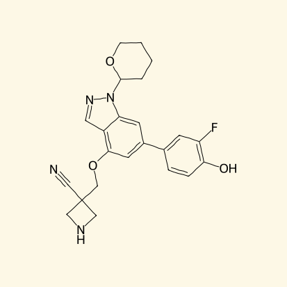 N#CC1(COc2cc(-c3ccc(O)c(F)c3)cc3c2cnn3C2CCCCO2)CNC1